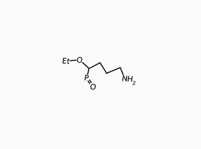 CCOC(CCCN)P=O